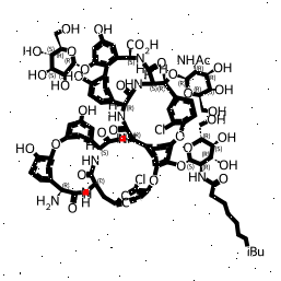 CCC(C)CCCCCCC(=O)N[C@H]1[C@H](Oc2c3cc4cc2Oc2ccc(cc2Cl)[C@@H](O[C@@H]2O[C@H](CO)[C@@H](O)[C@H](O)[C@H]2NC(C)=O)[C@@H]2NC(=O)[C@H](NC(=O)[C@@H]4NC(=O)[C@H]4NC(=O)[C@@H](Cc5ccc(c(Cl)c5)O3)NC(=O)[C@H](N)c3ccc(O)c(c3)Oc3cc(O)cc4c3)c3ccc(O)c(c3)-c3c(O[C@H]4O[C@H](CO)[C@@H](O)[C@H](O)[C@@H]4O)cc(O)cc3[C@@H](C(=O)O)NC2=O)O[C@H](CO)[C@@H](O)[C@@H]1O